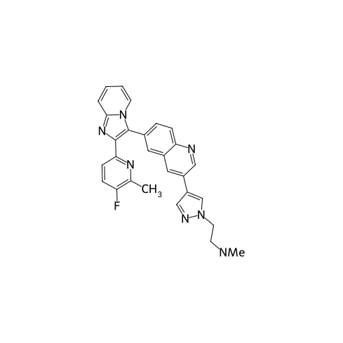 CNCCn1cc(-c2cnc3ccc(-c4c(-c5ccc(F)c(C)n5)nc5ccccn45)cc3c2)cn1